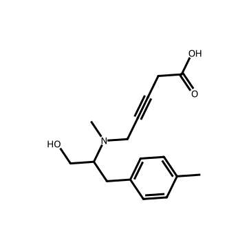 Cc1ccc(CC(CO)N(C)CC#CCC(=O)O)cc1